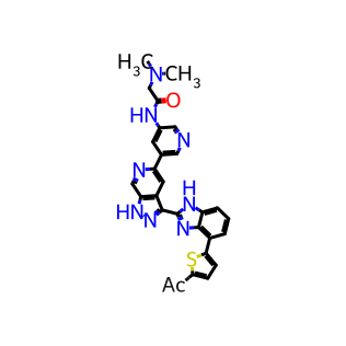 CC(=O)c1ccc(-c2cccc3[nH]c(-c4n[nH]c5cnc(-c6cncc(NC(=O)CN(C)C)c6)cc45)nc23)s1